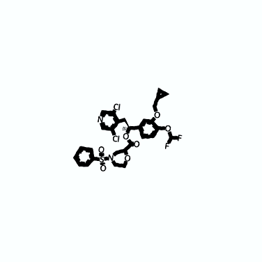 O=C(O[C@@H](Cc1c(Cl)cncc1Cl)c1ccc(OC(F)F)c(OCC2CC2)c1)C1CN(S(=O)(=O)c2ccccc2)CCO1